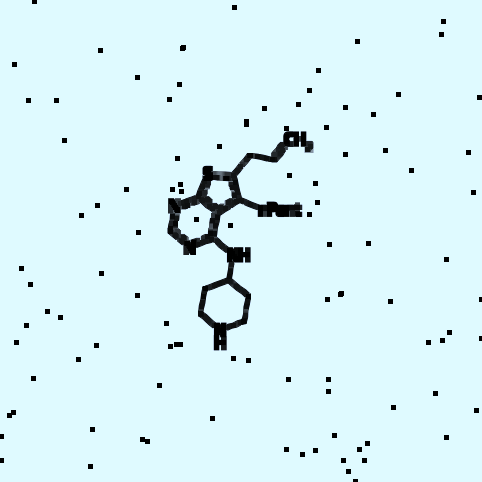 C=CCc1sc2ncnc(NC3CCNCC3)c2c1CCCCC